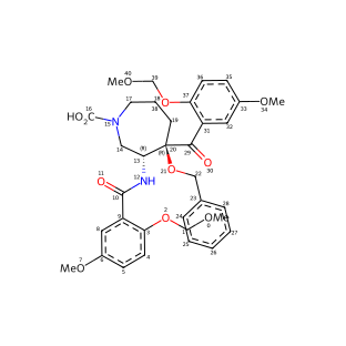 COCOc1ccc(OC)cc1C(=O)N[C@@H]1CN(C(=O)O)CCC[C@]1(OCc1ccccc1)C(=O)c1cc(OC)ccc1OCOC